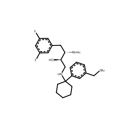 CC(=O)N[C@@H](Cc1cc(F)cc(F)c1)[C@H](O)CNC1(c2cccc(CC(C)(C)C)c2)CCCCC1